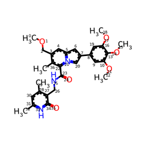 COCc1cc2cc(-c3cc(OC)c(OC)c(OC)c3)cn2c(C(=O)NCc2c(C)cc(C)[nH]c2=O)c1C